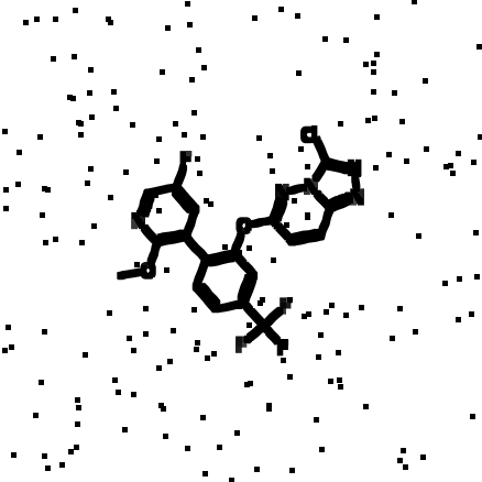 COc1ncc(F)cc1-c1ccc(C(F)(F)F)cc1Oc1ccc2nnc(Cl)n2n1